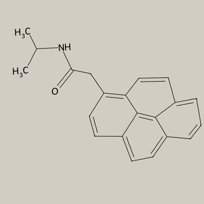 CC(C)NC(=O)Cc1ccc2ccc3cccc4ccc1c2c34